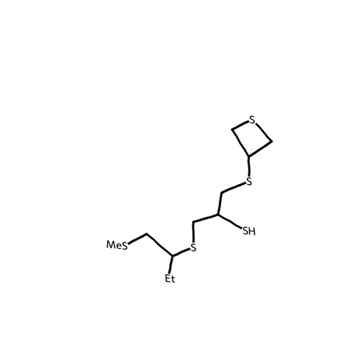 CCC(CSC)SCC(S)CSC1CSC1